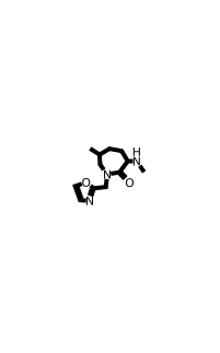 CNC1CCC(C)CN(Cc2ncco2)C1=O